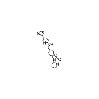 O=C1O[C@]2(CC[C@H](CNc3ccc(-c4cncs4)cn3)CC2)CN1c1ccccn1